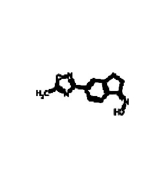 Cc1nc(-c2ccc3c(c2)CC/C3=N/O)no1